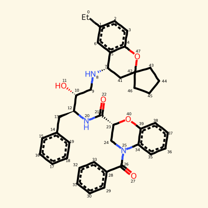 CCc1ccc2c(c1)[C@@H](NC[C@@H](O)[C@H](Cc1ccccc1)NC(=O)[C@H]1CN(C(=O)c3ccccc3)c3ccccc3O1)CC1(CCCC1)O2